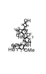 COc1cc(CP(=O)(O)O)ccc1Nc1ncc(C(F)(F)F)c(Nc2cnc(C3CC(O)C3)c3c2C(=O)N(C)C3)n1